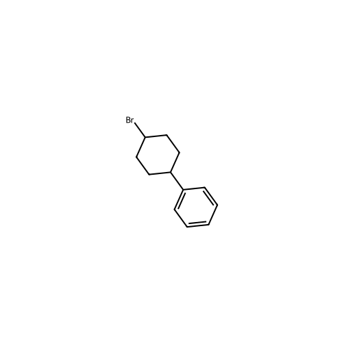 BrC1CCC(c2ccccc2)CC1